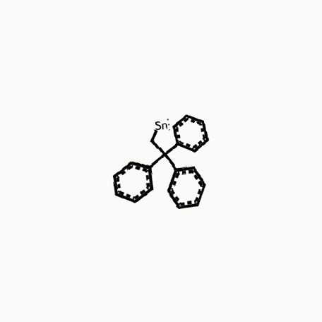 [Sn][CH2]C(c1ccccc1)(c1ccccc1)c1ccccc1